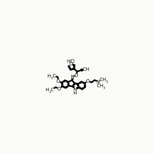 C#CC(O/N=C1/c2cc(OCC)c(OCC)cc2-c2[nH]c3ccc(OCCN(C)C)cc3c21)c1ccoc1.Cl